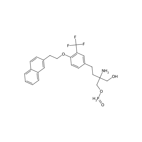 NC(CO)(CCc1ccc(OCCc2ccc3ccccc3c2)c(C(F)(F)F)c1)CO[PH2]=O